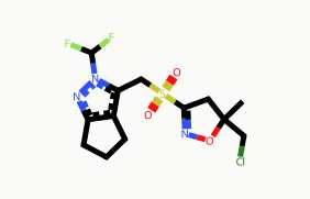 CC1(CCl)CC(S(=O)(=O)Cc2c3c(nn2C(F)F)CCC3)=NO1